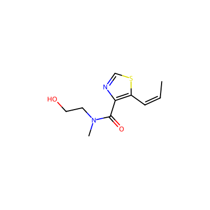 C/C=C\c1scnc1C(=O)N(C)CCO